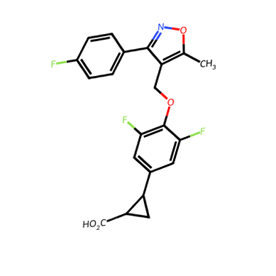 Cc1onc(-c2ccc(F)cc2)c1COc1c(F)cc(C2CC2C(=O)O)cc1F